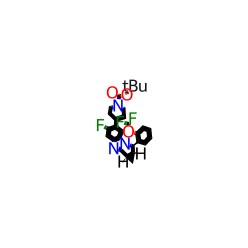 CC(C)(C)OC(=O)N1CC=C(c2cc3c(cc2F)nc2n3[C@@H](c3ccccc3OC(F)F)[C@H]3C[C@@H]23)CC1